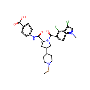 CSN1CCC(C2C[C@@H](C(=O)Nc3ccc(C(=O)O)cc3)N(C(=O)c3ccc4c(c(Cl)cn4C)c3F)C2)CC1